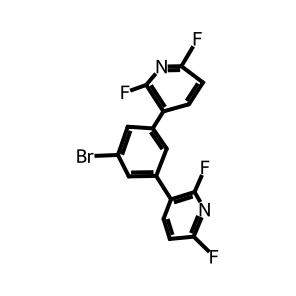 Fc1ccc(-c2cc(Br)cc(-c3ccc(F)nc3F)c2)c(F)n1